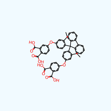 CCc1cc(Oc2ccc(C(=O)O)c(C(=O)O)c2)ccc1C1(c2ccc(Oc3ccc(C(=O)O)c(C(=O)O)c3)cc2CC)c2ccccc2-c2ccccc21